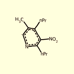 CCCc1n[c]c(C)c(CCC)c1[N+](=O)[O-]